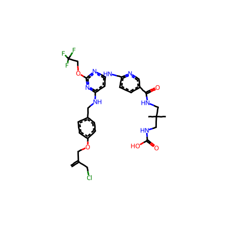 C=C(CCl)COc1ccc(CNc2cc(Nc3ccc(C(=O)NCC(C)(C)CNC(=O)O)cn3)nc(OCC(F)(F)F)n2)cc1